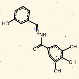 O=C(N/N=C/c1cccc(O)c1)c1cc(O)c(O)c(O)c1